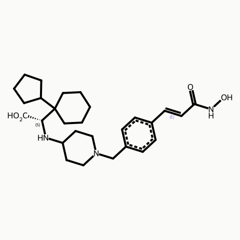 O=C(/C=C/c1ccc(CN2CCC(N[C@H](C(=O)O)C3(C4CCCC4)CCCCC3)CC2)cc1)NO